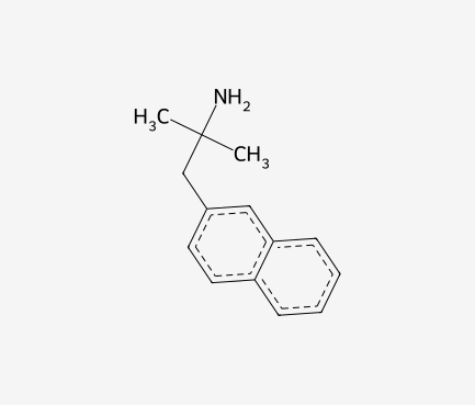 CC(C)(N)Cc1ccc2ccccc2c1